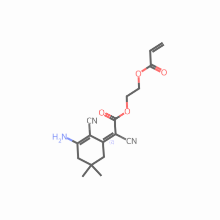 C=CC(=O)OCCOC(=O)/C(C#N)=C1/CC(C)(C)CC(N)=C1C#N